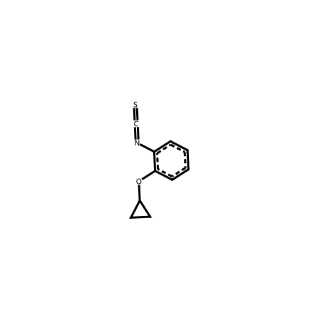 S=C=Nc1ccccc1OC1CC1